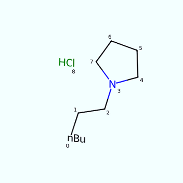 CCCCCCN1CCCC1.Cl